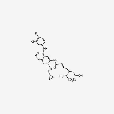 CCOC(=O)C(C)N(CC=CC(=O)Nc1cc2c(Nc3ccc(F)c(Cl)c3)ncnc2cc1OCC1CC1)CCO